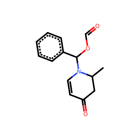 CC1CC(=O)C=CN1C(OC=O)c1ccccc1